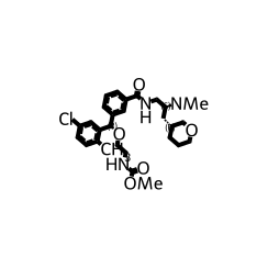 CN[C@H](CNC(=O)c1cccc([C@@H](OCCNC(=O)OC)c2cc(Cl)ccc2C)c1)C[C@H]1CCCOC1